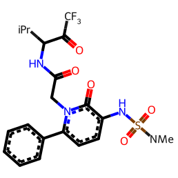 CNS(=O)(=O)Nc1ccc(-c2ccccc2)n(CC(=O)NC(C(=O)C(F)(F)F)C(C)C)c1=O